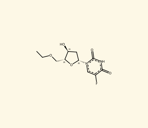 CCOC[C@H]1O[C@@H](n2cc(F)c(=O)[nH]c2=O)C[C@@H]1O